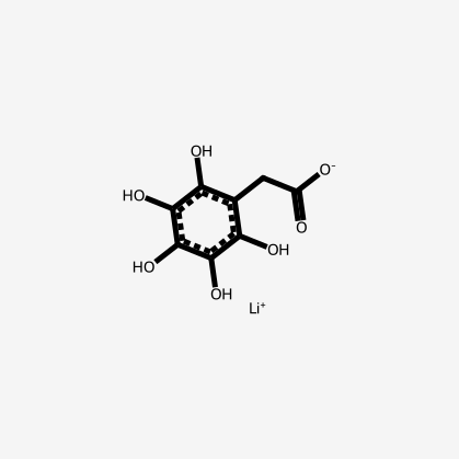 O=C([O-])Cc1c(O)c(O)c(O)c(O)c1O.[Li+]